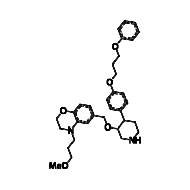 COCCCN1CCOc2ccc(COC3CNCCC3c3ccc(OCCCOc4ccccc4)cc3)cc21